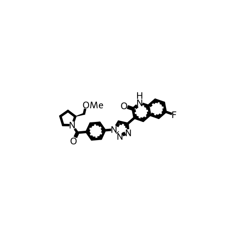 COC[C@@H]1CCCN1C(=O)c1ccc(-n2cc(-c3cc4cc(F)ccc4[nH]c3=O)nn2)cc1